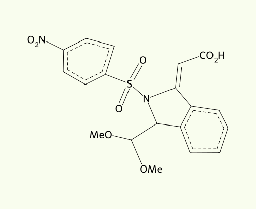 COC(OC)C1c2ccccc2/C(=C\C(=O)O)N1S(=O)(=O)c1ccc([N+](=O)[O-])cc1